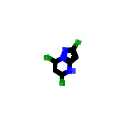 ClC1CC(Cl)n2nc(Br)cc2N1